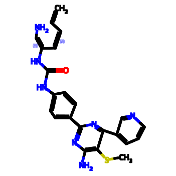 C=C/C=C\C(=C/N)NC(=O)Nc1ccc(-c2nc(N)c(SC)c(-c3cccnc3)n2)cc1